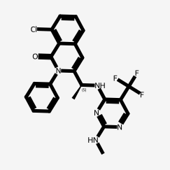 CNc1ncc(C(F)(F)F)c(N[C@@H](C)c2cc3cccc(Cl)c3c(=O)n2-c2ccccc2)n1